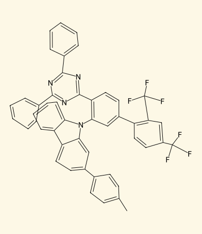 Cc1ccc(-c2ccc3c4ccccc4n(-c4cc(-c5ccc(C(F)(F)F)cc5C(F)(F)F)ccc4-c4nc(-c5ccccc5)nc(-c5ccccc5)n4)c3c2)cc1